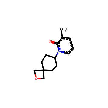 O=C(O)c1cccn(C2CCC3(CC2)COC3)c1=O